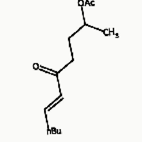 CCCC/C=C/C(=O)CCC(C)OC(C)=O